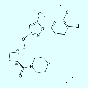 Cc1cc(OC[C@H]2CC[C@@H]2C(=O)N2CCOCC2)nn1-c1ccc(Cl)c(Cl)c1